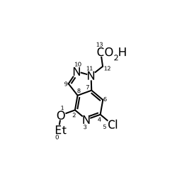 CCOc1nc(Cl)cc2c1cnn2CC(=O)O